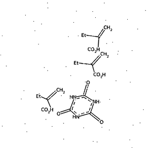 C=C(CC)C(=O)O.C=C(CC)C(=O)O.C=C(CC)C(=O)O.O=c1[nH]c(=O)[nH]c(=O)[nH]1